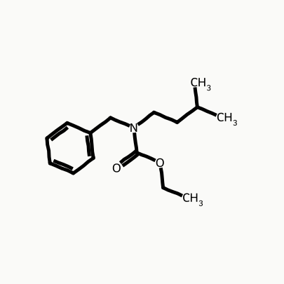 CCOC(=O)N(CCC(C)C)Cc1ccccc1